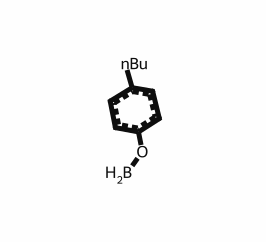 BOc1ccc(CCCC)cc1